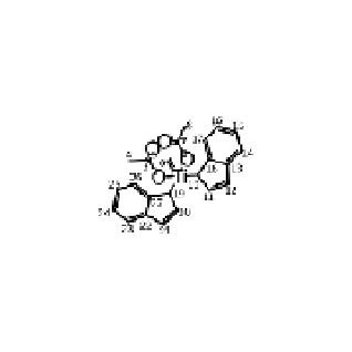 [CH2]=[Ti]([O]C(C)=O)([O]C(C)=O)([CH]1C=Cc2ccccc21)[CH]1C=Cc2ccccc21